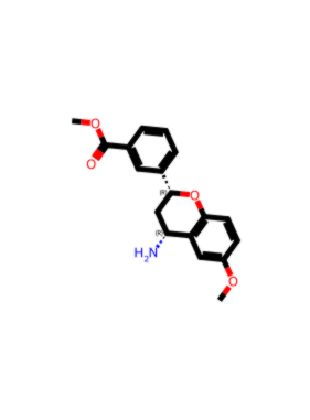 COC(=O)c1cccc([C@H]2C[C@@H](N)c3cc(OC)ccc3O2)c1